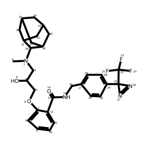 CN(CC(O)COc1ccccc1C(=O)NCc1ccc(C2(C(F)(F)F)N=N2)cc1)C1C2CC3CC(C2)CC1C3